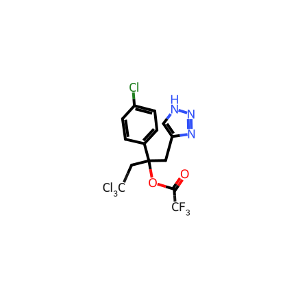 O=C(OC(Cc1c[nH]nn1)(CC(Cl)(Cl)Cl)c1ccc(Cl)cc1)C(F)(F)F